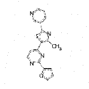 Cc1nc(-c2cccnc2)sc1-c1ccnc(-c2ccco2)n1